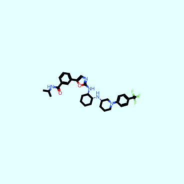 CC(C)NC(=O)c1cccc(-c2cnc(N[C@@H]3CCCC[C@H]3N[C@H]3CCCN(c4ccc(C(F)(F)F)cc4)C3)o2)c1